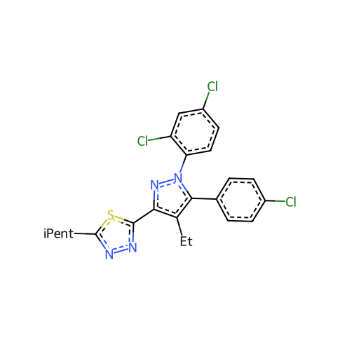 CCCC(C)c1nnc(-c2nn(-c3ccc(Cl)cc3Cl)c(-c3ccc(Cl)cc3)c2CC)s1